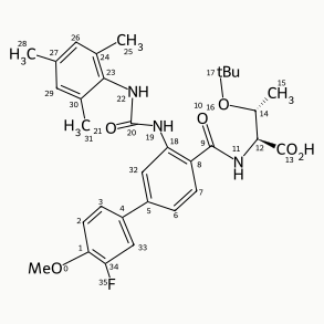 COc1ccc(-c2ccc(C(=O)N[C@H](C(=O)O)[C@@H](C)OC(C)(C)C)c(NC(=O)Nc3c(C)cc(C)cc3C)c2)cc1F